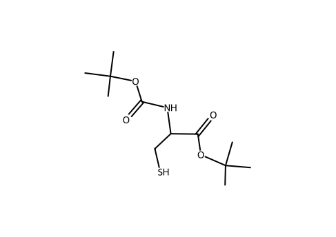 CC(C)(C)OC(=O)NC(CS)C(=O)OC(C)(C)C